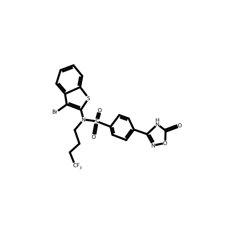 O=c1[nH]c(-c2ccc(S(=O)(=O)N(CCCC(F)(F)F)c3sc4ccccc4c3Br)cc2)no1